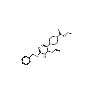 C=CCC(NC(=O)OCc1ccccc1)C(=O)N1CCN(C(=O)OCC)CC1